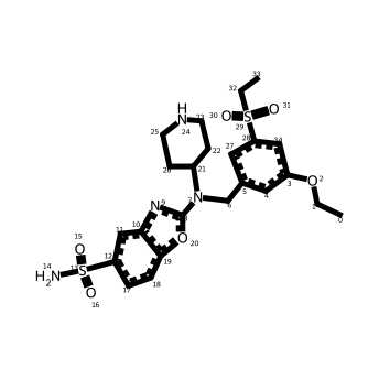 CCOc1cc(CN(c2nc3cc(S(N)(=O)=O)ccc3o2)C2CCNCC2)cc(S(=O)(=O)CC)c1